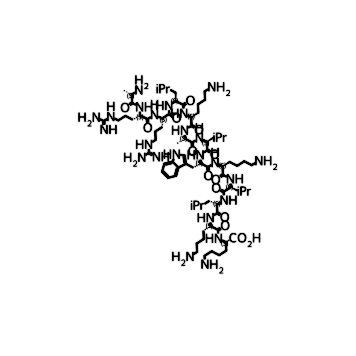 CC(C)C[C@H](NC(=O)[C@H](CCCNC(=N)N)NC(=O)[C@H](CCCNC(=N)N)NC(=O)[C@H](C)N)C(=O)N[C@@H](CCCCN)C(=O)N[C@@H](C)C(=O)N[C@H](C(=O)N[C@@H](Cc1c[nH]c2ccccc12)C(=O)N[C@@H](CCCCN)C(=O)N[C@H](C(=O)N[C@@H](CC(C)C)C(=O)N[C@@H](CCCCN)C(=O)N[C@@H](CCCCN)C(=O)O)C(C)C)C(C)C